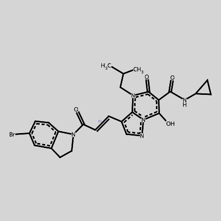 CC(C)Cn1c(=O)c(C(=O)NC2CC2)c(O)n2ncc(/C=C/C(=O)N3CCc4cc(Br)ccc43)c12